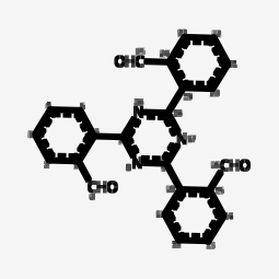 O=Cc1ccccc1-c1nc(-c2ccccc2C=O)nc(-c2ccccc2C=O)n1